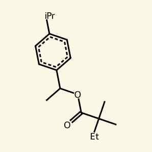 CCC(C)(C)C(=O)OC(C)c1ccc(C(C)C)cc1